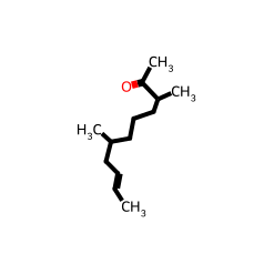 CC=CCC(C)CCCC(C)C(C)=O